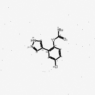 CC(C)(C)C(=O)Oc1ccc(Cl)cc1-c1cn[nH]c1